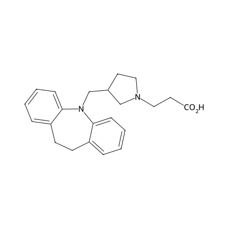 O=C(O)CCN1CCC(CN2c3ccccc3CCc3ccccc32)C1